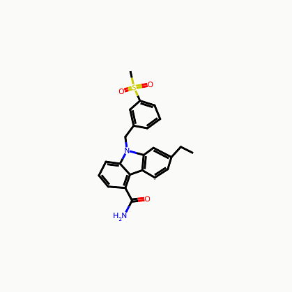 CCc1c[c]c2c3c(C(N)=O)cccc3n(Cc3cccc(S(C)(=O)=O)c3)c2c1